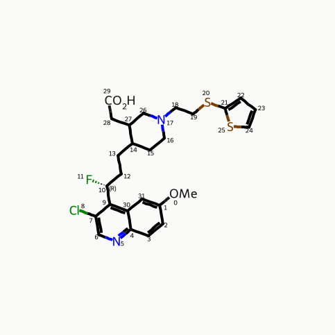 COc1ccc2ncc(Cl)c([C@H](F)CCC3CCN(CCSc4cccs4)CC3CC(=O)O)c2c1